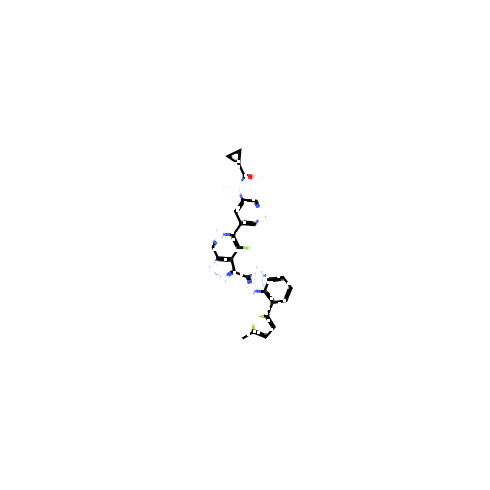 Cc1ccc(-c2cccc3[nH]c(-c4n[nH]c5cnc(-c6cncc(NC(=O)C7CC7)c6)c(F)c45)nc23)s1